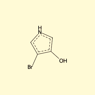 Oc1c[nH]cc1Br